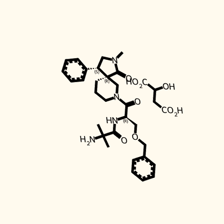 CN1C[C@@H](c2ccccc2)[C@@]2(CCCN(C(=O)[C@@H](COCc3ccccc3)NC(=O)C(C)(C)N)C2)C1=O.O=C(O)CC(O)C(=O)O